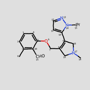 Cc1cccc(OCC2=C(c3ccnn3C(C)C)CN(C)C2)c1C=O